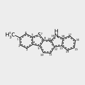 Cc1ccc2c(c1)sc1c2ccc2c3ccccc3[nH]c21